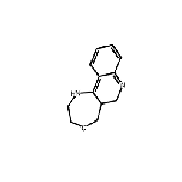 c1ccc2c(c1)=NCC1COCCNC=21